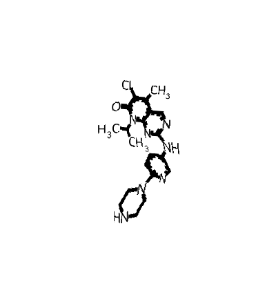 Cc1c(Cl)c(=O)n(C(C)C)c2nc(Nc3ccc(N4CCNCC4)nc3)ncc12